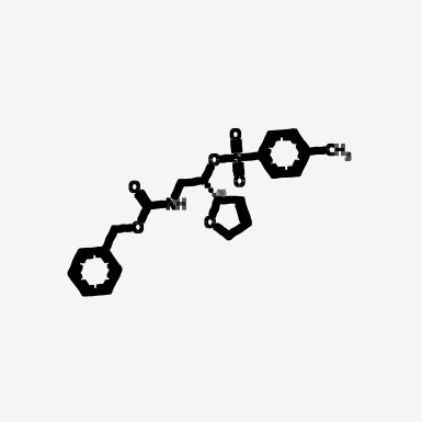 Cc1ccc(S(=O)(=O)OC(CNC(=O)OCc2ccccc2)[C@@H]2C=CCO2)cc1